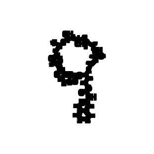 CC1=C\C(O)CC(F)Cc2nc(co2)C(=O)N2CCCC2C(=O)OC(CCOC(=O)Nc2cc3ccccc3cn2)C/C=C/C(=O)NC\C=C\1